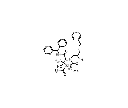 CO[C@@H](CC(N)=O)C(=O)N(CC(C)COCc1ccccc1)[C@H](C(=O)NC(c1ccccc1)c1ccccc1)C(C)(C)O